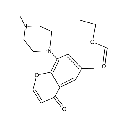 CCOC=O.Cc1cc(N2CCN(C)CC2)c2occc(=O)c2c1